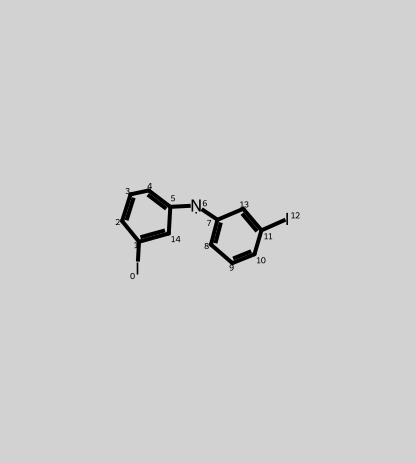 Ic1cccc([N]c2cccc(I)c2)c1